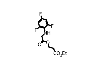 CCOC(=O)CCOC(=O)CNc1c(F)cc(F)cc1F